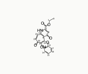 CCOC(=O)c1cc(=O)c2c(Oc3ccccc3)c(O)c(=O)ccc2[nH]1